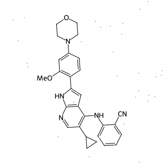 COc1cc(N2CCOCC2)ccc1-c1cc2c(Nc3ccccc3C#N)c(C3CC3)cnc2[nH]1